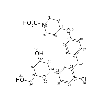 O=C(O)N1CCC(Oc2ccc(Cc3cc([C@H]4CC(O)C[C@@H](CO)O4)ccc3Cl)cc2)CC1